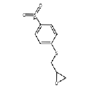 O=[SH](=O)c1ccc(SCC2CO2)cc1